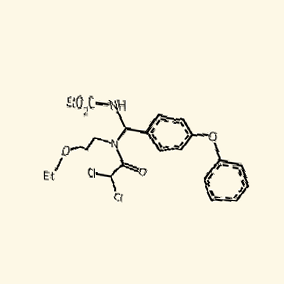 CCOCCN(C(=O)C(Cl)Cl)C(NC(=O)OCC)c1ccc(Oc2ccccc2)cc1